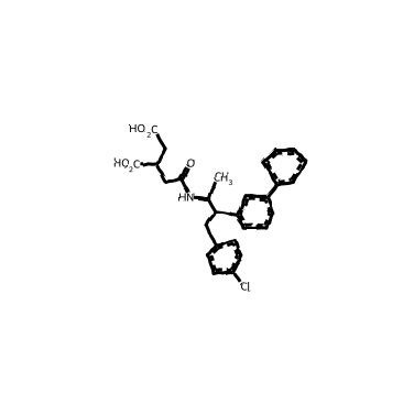 CC(NC(=O)CC(CC(=O)O)C(=O)O)C(Cc1ccc(Cl)cc1)c1cccc(-c2ccccc2)c1